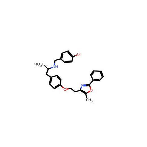 Cc1oc(-c2ccccc2)nc1CCOc1ccc(C[C@H](NCc2ccc(Br)cc2)C(=O)O)cc1